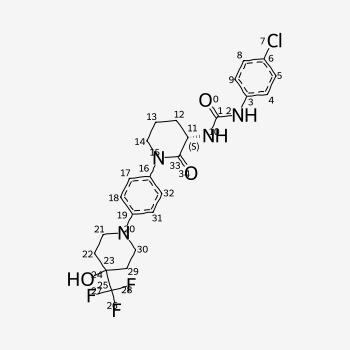 O=C(Nc1ccc(Cl)cc1)N[C@H]1CCCN(c2ccc(N3CCC(O)(C(F)(F)F)CC3)cc2)C1=O